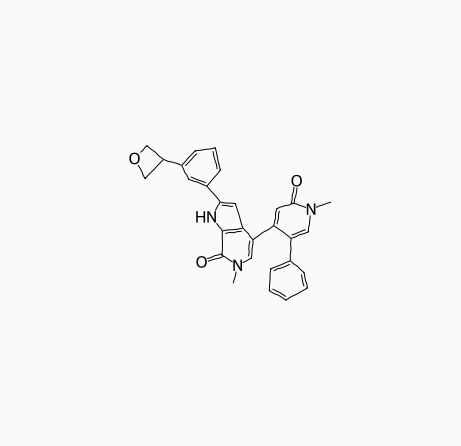 Cn1cc(-c2ccccc2)c(-c2cn(C)c(=O)c3[nH]c(-c4cccc(C5COC5)c4)cc23)cc1=O